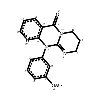 COc1cccc(N2C3=NCCCN3C(=O)c3cccnc32)c1